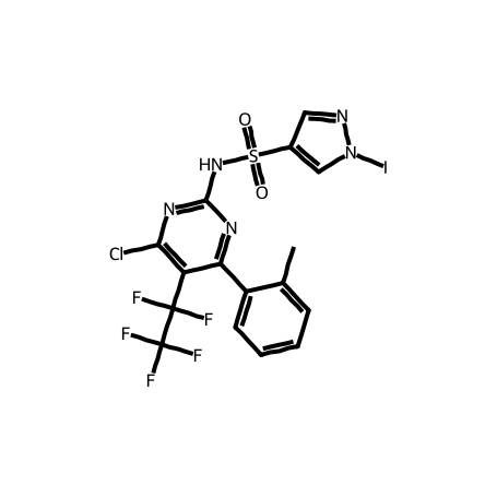 Cc1ccccc1-c1nc(NS(=O)(=O)c2cnn(I)c2)nc(Cl)c1C(F)(F)C(F)(F)F